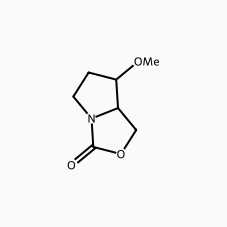 COC1CCN2C(=O)OCC12